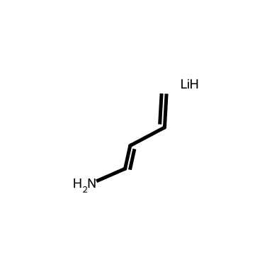 C=CC=CN.[LiH]